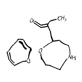 CC(=O)C1CNCCO1.c1ccoc1